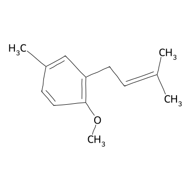 COc1ccc(C)cc1CC=C(C)C